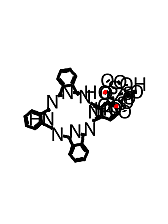 O=[S](=O)(O)[Zn]([S](=O)(=O)O)([S](=O)(=O)O)[S](=O)(=O)Oc1cccc2c3nc4nc(nc5[nH]c(nc6nc(nc([nH]3)c12)-c1ccccc1-6)c1ccccc51)-c1ccccc1-4